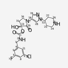 O=C(NCc1cc(F)cc(Cl)c1)OC1(O)CCN(c2cnn(C3CCNCC3)c2)C1=O